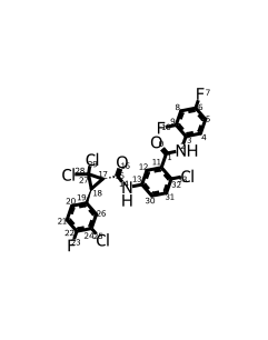 O=C(Nc1ccc(F)cc1F)c1cc(NC(=O)[C@@H]2[C@@H](c3ccc(F)c(Cl)c3)C2(Cl)Cl)ccc1Cl